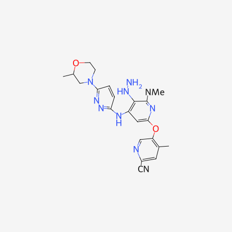 CNc1nc(Oc2cnc(C#N)cc2C)cc(Nc2ccc(N3CCOC(C)C3)nn2)c1NN